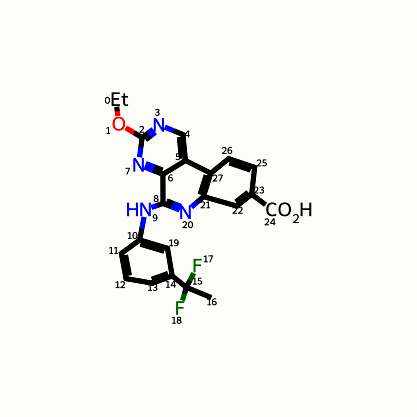 CCOc1ncc2c(n1)c(Nc1cccc(C(C)(F)F)c1)nc1cc(C(=O)O)ccc12